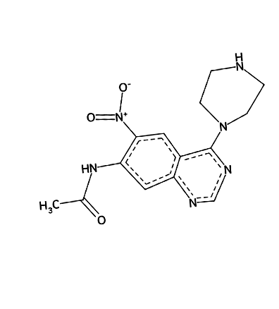 CC(=O)Nc1cc2ncnc(N3CCNCC3)c2cc1[N+](=O)[O-]